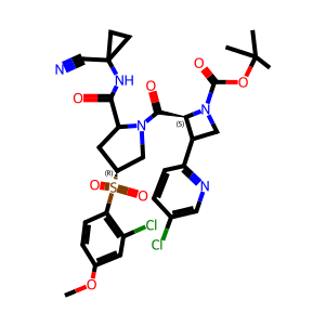 COc1ccc(S(=O)(=O)[C@@H]2CC(C(=O)NC3(C#N)CC3)N(C(=O)[C@@H]3C(c4ccc(Cl)cn4)CN3C(=O)OC(C)(C)C)C2)c(Cl)c1